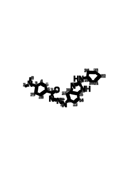 CN(C)c1ccc(C(=O)N=[N+]=Nc2ccc3[nH]c(Nc4ccccc4)nc3c2)cc1